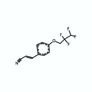 N#CC=Cc1ccc(OCC(F)(F)C(F)F)cc1